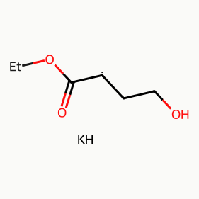 CCOC(=O)[CH]CCO.[KH]